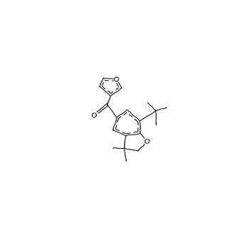 CC(C)(C)c1cc(C(=O)c2ccoc2)cc2c1OCC2(C)C